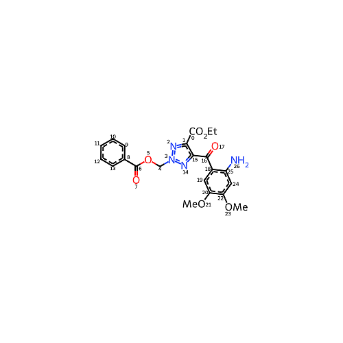 CCOC(=O)c1nn(COC(=O)c2ccccc2)nc1C(=O)c1cc(OC)c(OC)cc1N